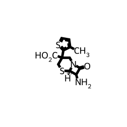 Cc1ccsc1C1(C(=O)O)CS[C@@H]2C(N)C(=O)N2C1